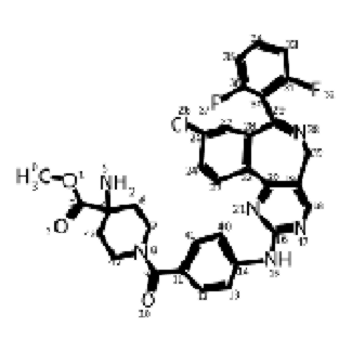 COC(=O)C1(N)CCN(C(=O)c2ccc(Nc3ncc4c(n3)-c3ccc(Cl)cc3C(c3c(F)cccc3F)=NC4)cc2)CC1